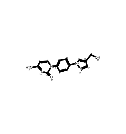 Nc1ccn(-c2ccc(-n3cc(CO)cn3)cc2)c(=O)n1